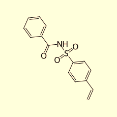 C=Cc1ccc(S(=O)(=O)NC(=O)c2ccccc2)cc1